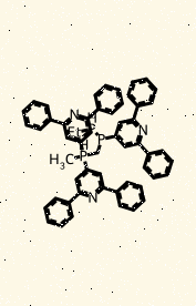 CCPP(C[PH](C)(c1cc(-c2ccccc2)nc(-c2ccccc2)c1)c1cc(-c2ccccc2)nc(-c2ccccc2)c1)c1cc(-c2ccccc2)nc(-c2ccccc2)c1